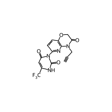 C#CCN1C(=O)COc2ccc(-n3c(=O)cc(C(F)(F)F)[nH]c3=O)nc21